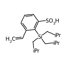 C=Cc1cccc(S(=O)(=O)O)c1[Si](CC(C)C)(CC(C)C)CC(C)C